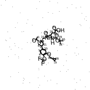 CC(=O)N1CC(c2ccc(OC(F)F)c(OCC3CC3)c2)C[C@@H]1CNC(=O)C(CCC(=O)O)NC(=O)OC(C)(C)C